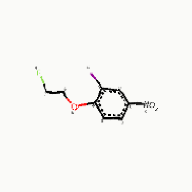 O=[N+]([O-])c1ccc(OCCF)c(I)c1